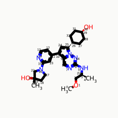 COC[C@H](C)Nc1ncc2c(-c3ccnc(N4CCC(C)(O)C4)c3)cc([C@H]3CC[C@H](O)CC3)n2n1